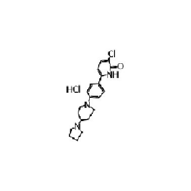 Cl.O=c1[nH]c(-c2ccc(N3CCC(N4CCCC4)CC3)cc2)ccc1Cl